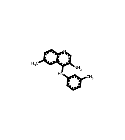 Cc1cccc(Nc2c(N)cnc3ccc(C)cc23)c1